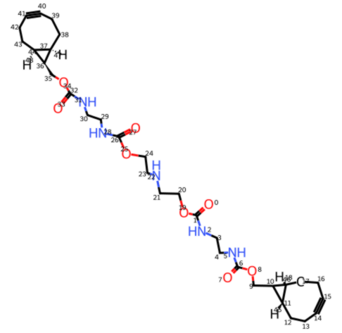 O=C(NCCNC(=O)OCC1[C@H]2CCC#CCC[C@@H]12)OCCNCCOC(=O)NCCNC(=O)OC[C@@H]1[C@@H]2CCC#CCC[C@@H]21